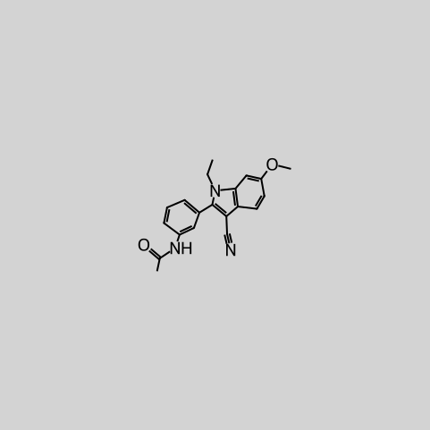 CCn1c(-c2cccc(NC(C)=O)c2)c(C#N)c2ccc(OC)cc21